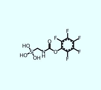 O=C(NC[Si](O)(O)O)Oc1c(F)c(F)c(F)c(F)c1F